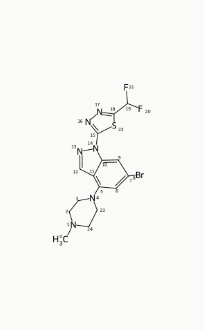 CN1CCN(c2cc(Br)cc3c2cnn3-c2nnc(C(F)F)s2)CC1